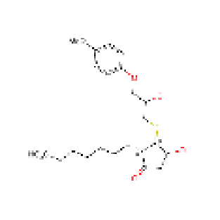 COc1ccc(OCC(O)CS[C@H]2C(O)CC(=O)[C@@H]2CCCCCCC(=O)O)cc1